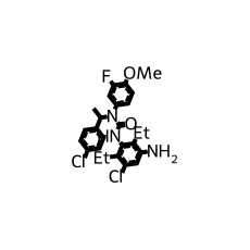 CCc1c(N)cc(Cl)c(CC)c1NC(=O)N(c1ccc(OC)c(F)c1)C(C)c1ccc(Cl)cc1